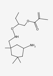 C=C(C)C(=O)OCC(CC)ONCC1(C)CC(N)CC(C)(C)C1